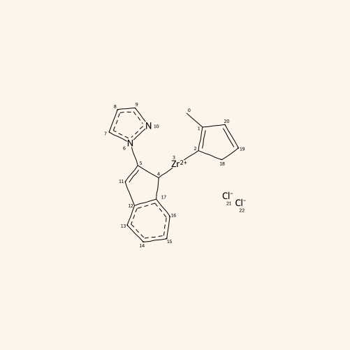 CC1=[C]([Zr+2][CH]2C(n3cccn3)=Cc3ccccc32)CC=C1.[Cl-].[Cl-]